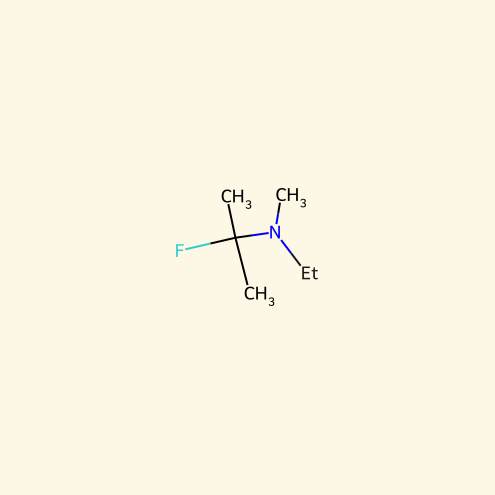 CCN(C)C(C)(C)F